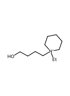 CC[N+]1(CCCCO)CCCCC1